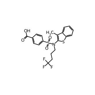 Cc1c(N(CCCC(F)(F)F)S(=O)(=O)c2ccc(C(=O)O)cc2)sc2ccccc12